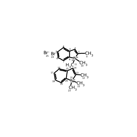 CC1=Cc2ccccc2[N+]1(C)C.CC1=Cc2ccccc2[N+]1(C)C.[Br-].[Br-]